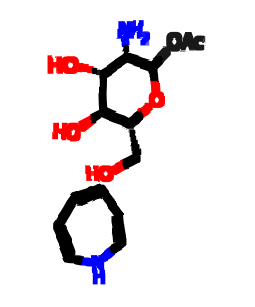 C1=CC=CNC=C1.CC(=O)OC1O[C@H](CO)[C@@H](O)[C@H](O)[C@@H]1N